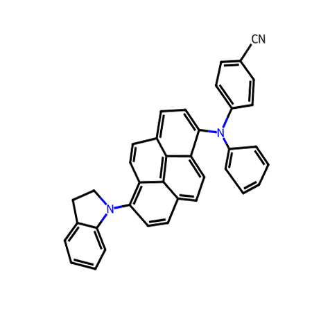 N#Cc1ccc(N(c2ccccc2)c2ccc3ccc4c(N5CCc6ccccc65)ccc5ccc2c3c54)cc1